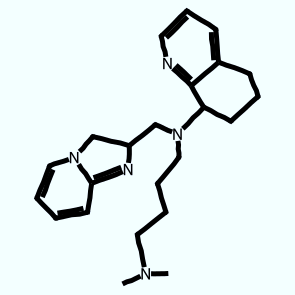 CN(C)CCCCN(CC1CN2C=CC=CC2=N1)C1CCCc2cccnc21